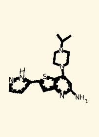 CC(C)N1CCN(c2cc(N)nc3cc(-c4ccn[nH]4)sc23)CC1